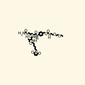 CCOCCOCCNC(=O)OCc1ccc(NC(=O)[C@H](CCCNC(N)=O)NC(=O)[C@@H](NC(=O)CCCCCN2C(=O)C=CC2=O)C(C)C)cc1